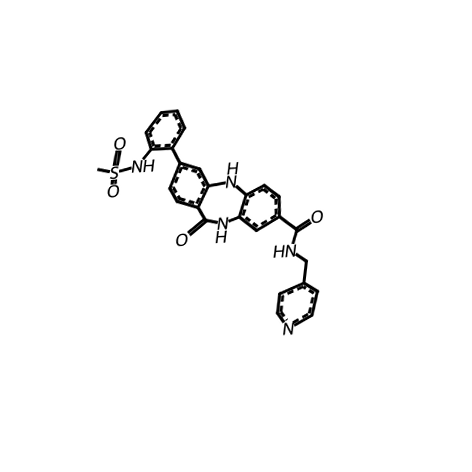 CS(=O)(=O)Nc1ccccc1-c1ccc2c(c1)Nc1ccc(C(=O)NCc3ccncc3)cc1NC2=O